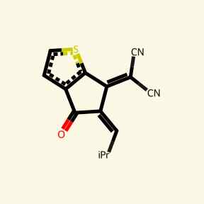 CC(C)/C=C1\C(=O)c2ccsc2C1=C(C#N)C#N